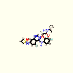 C[C@H](C#N)NC(=O)[C@@H](C)Oc1cc(F)ccc1Nc1ncnc2cc(N=S3(=O)CCC3)cc(F)c12